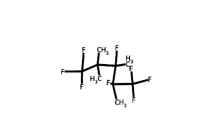 CC(C)(C(F)(F)F)C(C)(F)C(C)(F)C(F)(F)F